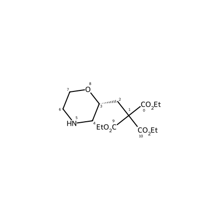 CCOC(=O)C(C[C@@H]1CNCCO1)(C(=O)OCC)C(=O)OCC